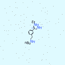 CCCCNCCc1cccc(/C(C=N)=C/NCC)c1